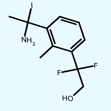 Cc1c(C(C)(N)I)cccc1C(F)(F)CO